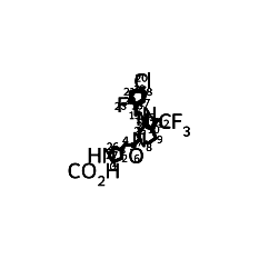 O=C(O)C1CC(CC(=O)N2CCc3c(C(F)(F)F)nn(Cc4ccc(Cl)cc4F)c3C2)CN1